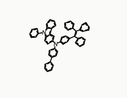 c1ccc(C(=C(c2ccccc2)c2ccc(N(c3ccc(-c4ccccc4)cc3)c3ccc4c(c3)c3ccccc3n4-c3ccccc3)cc2)c2ccccc2)cc1